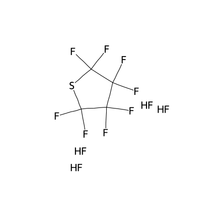 F.F.F.F.FC1(F)SC(F)(F)C(F)(F)C1(F)F